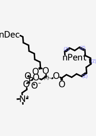 CCCCC/C=C\C/C=C\C/C=C\C/C=C\CCCC(=O)OC[C@H](COP(=O)([O-])OCC[N+](C)(C)C)OC(=O)CCCCCCCCCCCCCCCCC